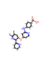 Cc1cc(Oc2ccnc(Nc3ccc(C(=O)O)cc3)c2)c(-c2ccccn2)nc1C